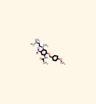 COc1ccc(COc2cc(N(C)CCN(C)C)c([N+](=O)[O-])cc2NC(C)=O)cc1